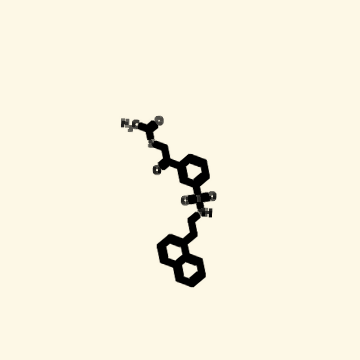 CC(=O)SCC(=O)c1cccc(S(=O)(=O)NCCc2cccc3ccccc23)c1